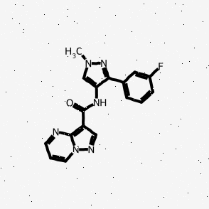 Cn1cc(NC(=O)c2cnn3cccnc23)c(-c2cccc(F)c2)n1